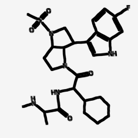 CNC(C)C(=O)NC(C(=O)N1CCC2C1C(c1c[nH]c3cc(F)ccc13)CN2S(C)(=O)=O)C1CCCCC1